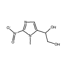 Cn1c(C(O)CO)cnc1[N+](=O)[O-]